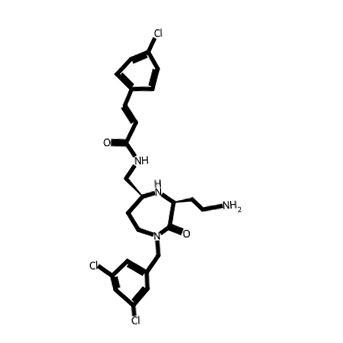 NCC[C@@H]1N[C@H](CNC(=O)C=Cc2ccc(Cl)cc2)CCN(Cc2cc(Cl)cc(Cl)c2)C1=O